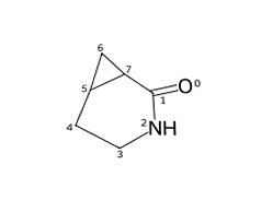 O=C1NCCC2CC12